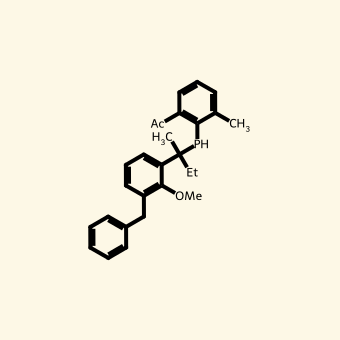 CCC(C)(Pc1c(C)cccc1C(C)=O)c1cccc(Cc2ccccc2)c1OC